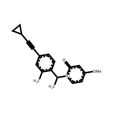 COc1ccn(C(C)c2ccc(C#CC3CC3)cc2C)c(=O)c1